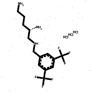 Cl.Cl.Cl.NCCC[C@H](N)CNCc1cc(C(F)(F)F)cc(C(F)(F)F)c1